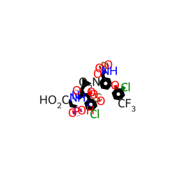 CP(=O)(O)CCC(N)C(=O)O.CS(=O)(=O)NC(=O)c1cc(Oc2ccc(C(F)(F)F)cc2Cl)ccc1[N+](=O)[O-].CS(=O)(=O)c1cc(Cl)ccc1C(=O)c1cnoc1C1CC1